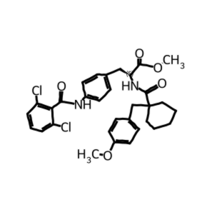 COC(=O)[C@H](Cc1ccc(NC(=O)c2c(Cl)cccc2Cl)cc1)NC(=O)C1(Cc2ccc(OC)cc2)CCCCC1